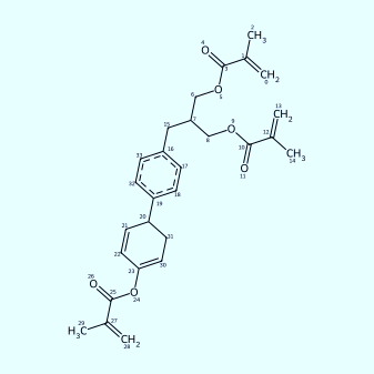 C=C(C)C(=O)OCC(COC(=O)C(=C)C)Cc1ccc(C2C=CC(OC(=O)C(=C)C)=CC2)cc1